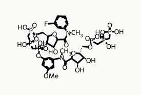 COc1cc(OP(=O)(O)CP(=O)(O)CP(=O)(O)OC[C@H]2OC(C(=O)N(C)c3cccc(F)c3)[C@H](O)[C@@H]2O)cc(N(C)C(=O)C2O[C@H](COP(=O)(O)CP(=O)(O)CP(=O)(O)O)[C@@H](O)[C@H]2O)c1